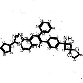 NC1(c2ccc(-c3nc4ccn5c(C6CC=CC6)nnc5c4cc3-c3ccccc3)cc2)CC2(C1)OCCO2